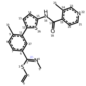 C=CS/C(=N\C)c1ccc(C)c(-c2ccc(NC(=O)c3ccncc3C)s2)c1